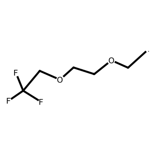 [CH2]COCCOCC(F)(F)F